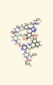 C=CC(=O)N1CCN(c2nc(OCCN3CCC(C(=O)N4CCN(Cc5ccc(-n6c(C(=O)NCC(F)(F)F)nnc6-c6cc(C)c(O)cc6O)cc5)CC4)CC3)nc3c2CCN(c2cccc4cccc(Cl)c24)C3)CC1CC#N